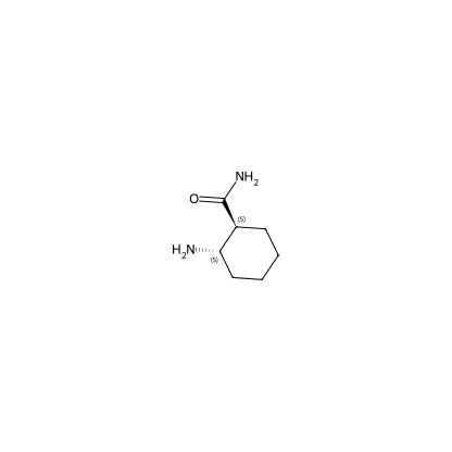 NC(=O)[C@H]1CCCC[C@@H]1N